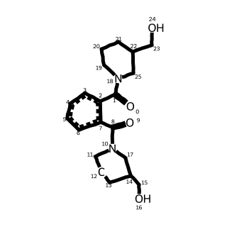 O=C(c1ccccc1C(=O)N1CCCC(CO)C1)N1CCCC(CO)C1